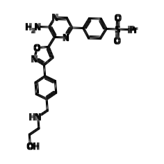 CC(C)S(=O)(=O)c1ccc(-c2cnc(N)c(-c3cc(-c4ccc(CNCCO)cc4)no3)n2)cc1